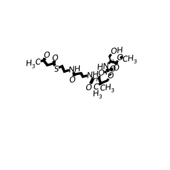 COC(=O)[C@H](CO)NP1(=O)OCC(C)(C)[C@H](C(=O)NCCC(=O)NCCSC(=O)CC(C)=O)O1